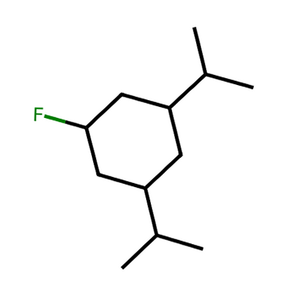 CC(C)C1CC(F)CC(C(C)C)C1